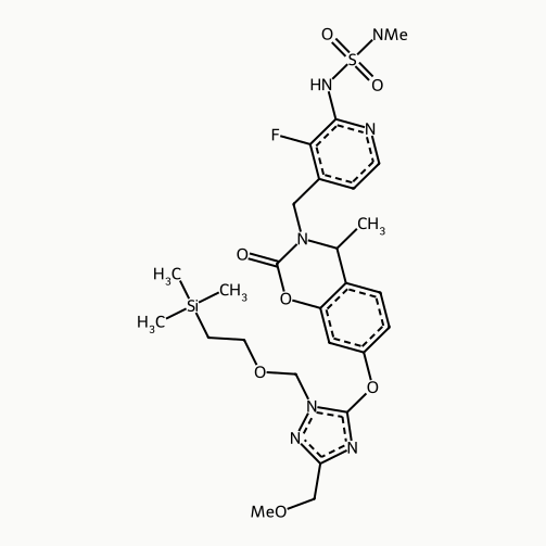 CNS(=O)(=O)Nc1nccc(CN2C(=O)Oc3cc(Oc4nc(COC)nn4COCC[Si](C)(C)C)ccc3C2C)c1F